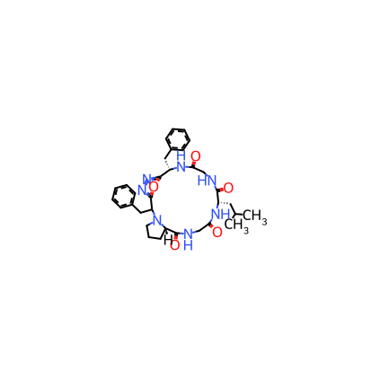 CC(C)C[C@@H]1NC(=O)CNC(=O)[C@@H]2CCCN2C(Cc2ccccc2)c2nnc(o2)[C@H](Cc2ccccc2)NC(=O)CNC1=O